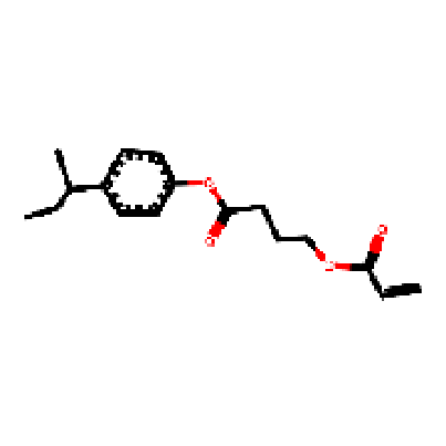 C=CC(=O)OCCCC(=O)Oc1ccc(C(C)CC)cc1